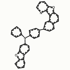 c1ccc(N(c2ccc(-c3ccc4ccc5oc6cccnc6c5c4c3)cc2)c2ccc3c(c2)oc2ccccc23)cc1